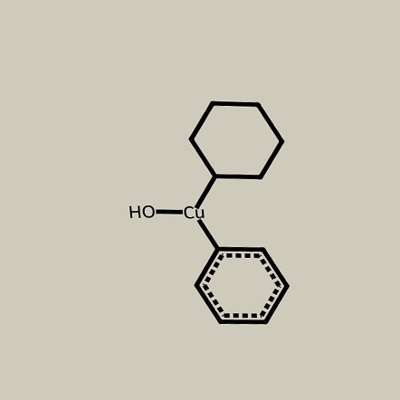 [OH][Cu]([c]1ccccc1)[CH]1CCCCC1